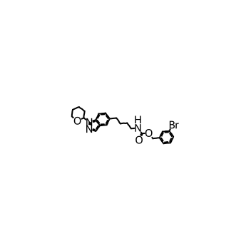 O=C(NCCCCc1ccc2c(cnn2C2CCCCO2)c1)OCc1cccc(Br)c1